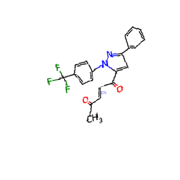 CC(=O)/C=C/C(=O)c1cc(-c2ccccc2)nn1-c1ccc(C(F)(F)F)cc1